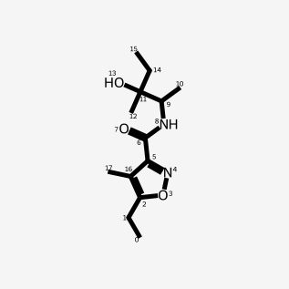 CCc1onc(C(=O)NC(C)C(C)(O)CC)c1C